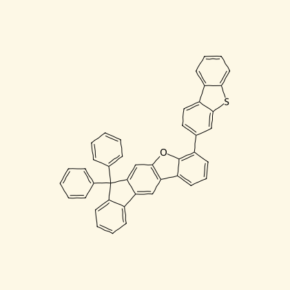 c1ccc(C2(c3ccccc3)c3ccccc3-c3cc4c(cc32)oc2c(-c3ccc5c(c3)sc3ccccc35)cccc24)cc1